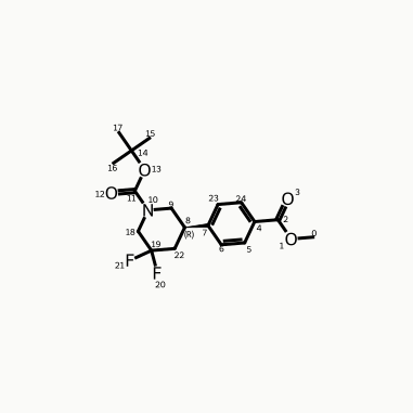 COC(=O)c1ccc([C@@H]2CN(C(=O)OC(C)(C)C)CC(F)(F)C2)cc1